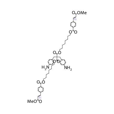 COC(=O)/C=C/c1ccc(C(=O)OCCCCCCCCOC(=O)C(Cc2ccc(N)cc2)(Cc2ccc(N)cc2)C(=O)OCCCCCCCCOC(=O)c2ccc(/C=C/C(=O)OC)cc2)cc1